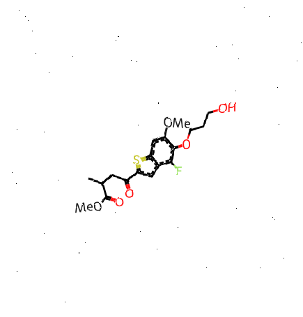 COC(=O)C(C)CC(=O)c1cc2c(F)c(OCCCO)c(OC)cc2s1